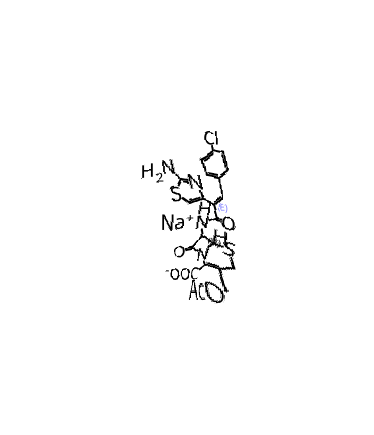 CC(=O)OCC1=C(C(=O)[O-])N2C(=O)C(NC(=O)/C(=C/c3ccc(Cl)cc3)c3csc(N)n3)[C@H]2SC1.[Na+]